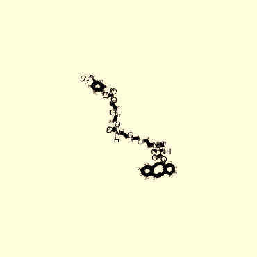 O=C(NCCOCCOCCNS(=O)(=O)NC(=O)OC1Cc2ccccc2C#Cc2ccccc21)OCCOCCOC(=O)Oc1ccc([N+](=O)[O-])cc1